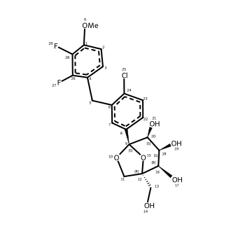 COc1ccc(Cc2cc([C@]34OC[C@@](CO)(O3)[C@H](O)[C@H](O)[C@@H]4O)ccc2Cl)c(F)c1F